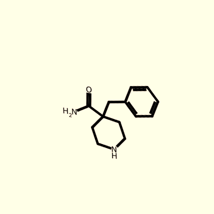 NC(=O)C1(Cc2ccccc2)CCNCC1